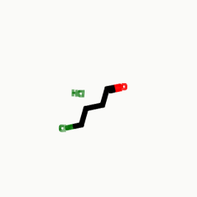 Cl.O=CCCCCl